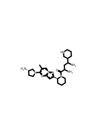 Cc1cn2nc([C@@H]3CCCCN3C(=O)C(N)CC(N)C3CCCNC3)cc2nc1N1CC[C@H](N)C1